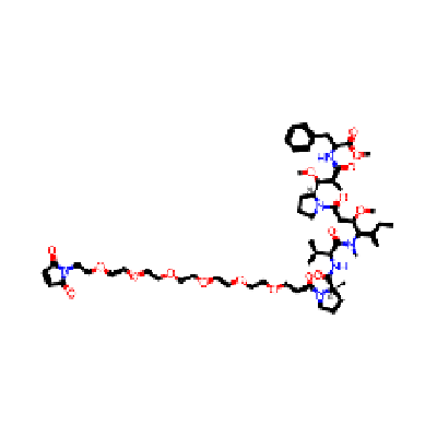 CCC(C)C(C(CC(=O)N1CCC[C@H]1C(OC)C(C)C(=O)NC(Cc1ccccc1)C(=O)OC)OC)N(C)C(=O)C(NC(=O)[C@]1(C)CCCN1C(=O)CCOCCOCCOCCOCCOCCOCCN1C(=O)C=CC1=O)C(C)C